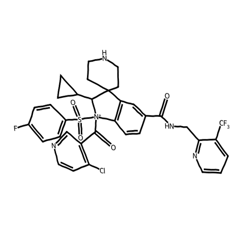 O=C(NCc1ncccc1C(F)(F)F)c1ccc2c(c1)C1(CCNCC1)C(C1CC1)[N+]2(C(=O)c1cnccc1Cl)S(=O)(=O)c1ccc(F)cc1